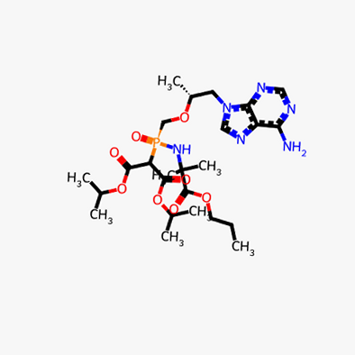 CCCOC(=O)C(C)(C)N[P@](=O)(CO[C@H](C)Cn1cnc2c(N)ncnc21)C(C(=O)OC(C)C)C(=O)OC(C)C